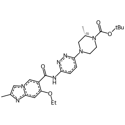 CCOc1cc2nc(C)cn2cc1C(=O)Nc1ccc(N2CCN(C(=O)OC(C)(C)C)[C@@H](C)C2)nn1